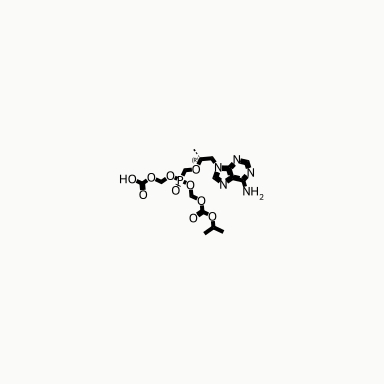 CC(C)OC(=O)OCOP(=O)(CO[C@H](C)Cn1cnc2c(N)ncnc21)OCOC(=O)O